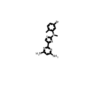 Cc1ccc(Br)cc1N(C)c1nc(-c2nc(N)cc(N)n2)cs1